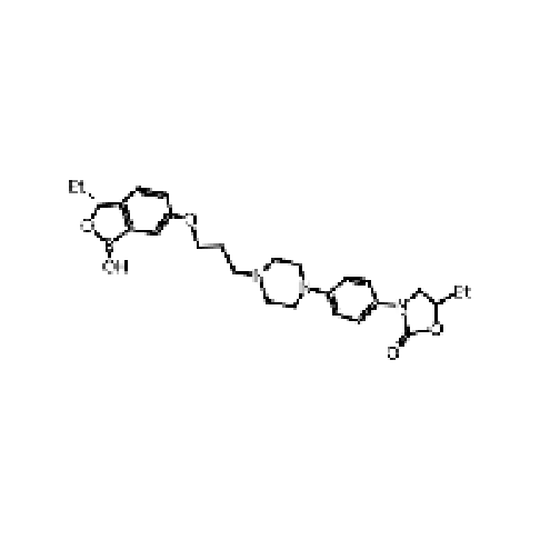 CCC1CN(c2ccc(N3CCN(CCCOc4ccc5c(c4)B(O)O[C@@H]5CC)CC3)cc2)C(=O)O1